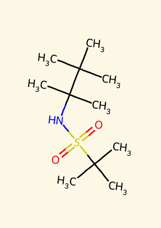 CC(C)(C)C(C)(C)NS(=O)(=O)C(C)(C)C